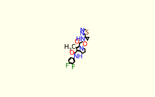 Cc1c(C(=O)Nc2ccc(F)c(F)c2)c2n(c1C(=O)C(=O)NC1(c3nncs3)CC1)CCC2